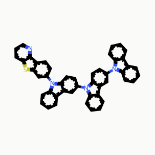 c1cnc2c(c1)sc1cc(-n3c4ccccc4c4cc(-n5c6ccccc6c6cc(-n7c8ccccc8c8ccccc87)ccc65)ccc43)ccc12